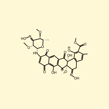 COC(=O)c1c(C)cc2c(c1O)[C@]1(O)C(=O)c3cc4c(c(O)c3C(=O)[C@]1(OC)C(=NO)C2)C(=O)C=C(N[C@H]1O[C@@H](C)[C@H](OC)C(=NO)[C@H]1OC)C4=O